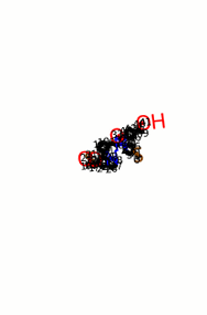 CSc1ccc(N(CCc2cccc(-c3cc(CC(C)S(C)(=O)=O)cc4cccnc34)c2)C(=O)c2ccc(C(C)CO)cc2)cc1